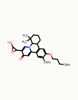 COCCCOc1cc2c(cc1OC)-c1cc(=O)c(C3OC3O)cn1C1C2CCCC1(C)C